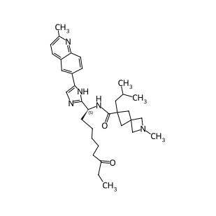 CCC(=O)CCCCC[C@H](NC(=O)C1(CC(C)C)CC2(CN(C)C2)C1)c1ncc(-c2ccc3nc(C)ccc3c2)[nH]1